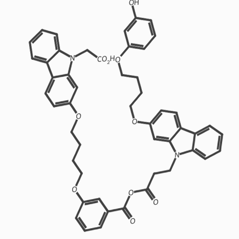 O=C(O)Cn1c2ccccc2c2ccc(OCCCCOc3cccc(C(=O)OC(=O)CCn4c5ccccc5c5ccc(OCCCCOc6cccc(O)c6)cc54)c3)cc21